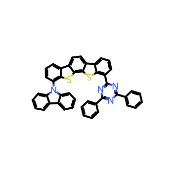 c1ccc(-c2nc(-c3ccccc3)nc(-c3cccc4c3sc3c4ccc4c5cccc(-n6c7ccccc7c7ccccc76)c5sc43)n2)cc1